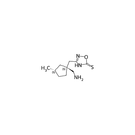 C[C@H]1CC[C@@](CN)(Cc2noc(=S)[nH]2)C1